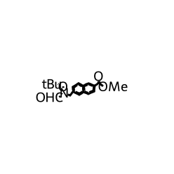 COC(=O)c1ccc2cc(CN(C=O)OC(C)(C)C)ccc2c1